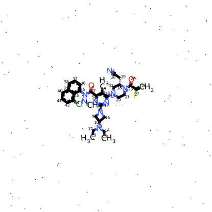 C=NN(C(=O)c1nc(N2CC(N(CC)CC)C2)nc(N2CCN(C(=O)C(=C)F)[C@@H](CC#N)C2)c1C)c1cccc2cccc(Cl)c12